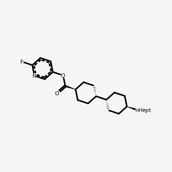 CCCCCCC[C@H]1CC[C@H]([C@H]2CC[C@H](C(=O)Oc3ccc(F)nc3)CC2)CC1